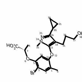 Cc1cc(Br)c(O[C@@H](C)C(=O)O)cc1Oc1c(CCCO)c(C2CC2)nn1C